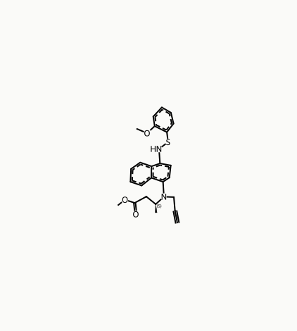 C#CCN(c1ccc(NSc2ccccc2OC)c2ccccc12)[C@@H](C)CC(=O)OC